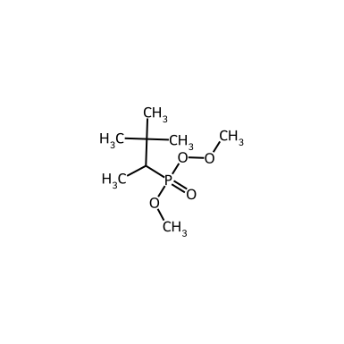 COOP(=O)(OC)C(C)C(C)(C)C